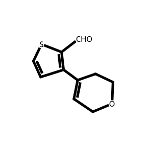 O=Cc1sccc1C1=CCOCC1